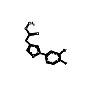 COC(=O)Cc1cnn(-c2ccc(F)c(Br)c2)c1